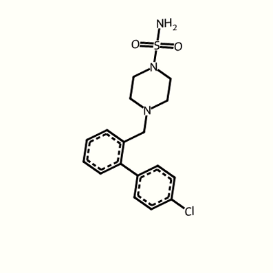 NS(=O)(=O)N1CCN(Cc2ccccc2-c2ccc(Cl)cc2)CC1